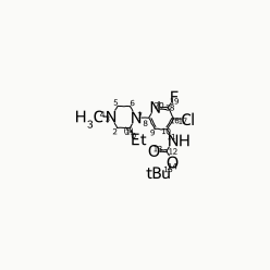 CC[C@H]1CN(C)CCN1c1cc(NC(=O)OC(C)(C)C)c(Cl)c(F)n1